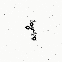 COc1ccc(-n2nc(CCC(=O)NCc3cc(F)cc(F)c3)cc2-c2ccc(C)cc2)cc1